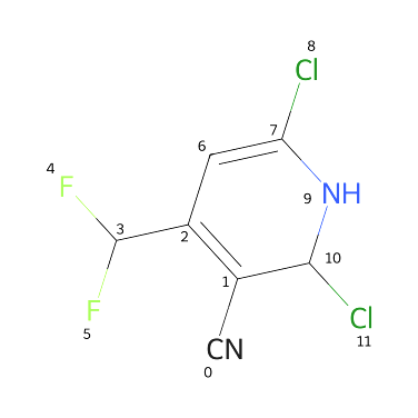 N#CC1=C(C(F)F)C=C(Cl)NC1Cl